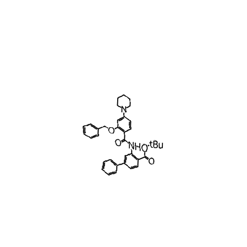 CC(C)(C)OC(=O)c1ccc(-c2ccccc2)cc1NC(=O)c1ccc(N2CCCCC2)cc1OCc1ccccc1